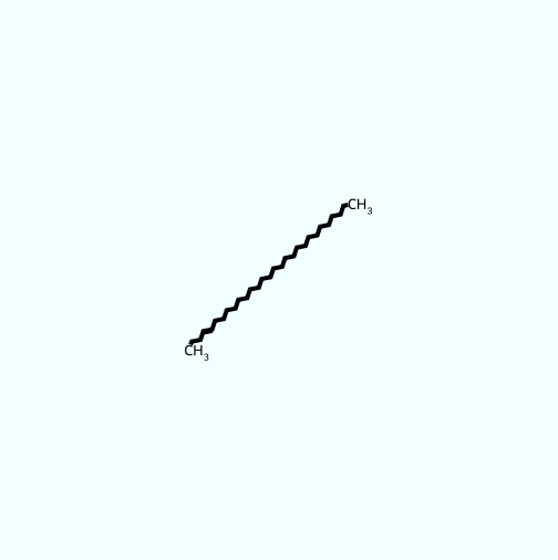 CCCC=CCCCCCCCCCCCCCCCCCCCCCCCC